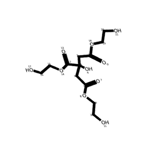 O=C(CC(O)(CC(=O)OCCO)C(=O)OCCO)OCCO